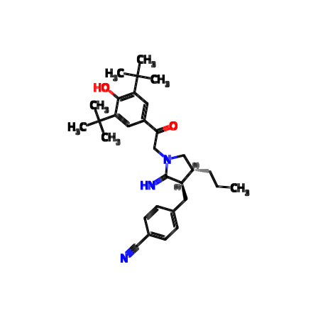 CCC[C@H]1CN(CC(=O)c2cc(C(C)(C)C)c(O)c(C(C)(C)C)c2)C(=N)[C@@H]1Cc1ccc(C#N)cc1